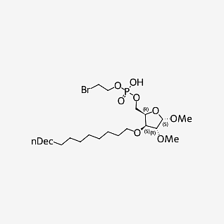 CCCCCCCCCCCCCCCCCCO[C@@H]1[C@@H](OC)[C@@H](OC)O[C@@H]1COP(=O)(O)OCCBr